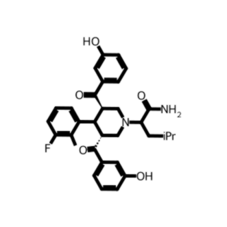 Cc1c(F)cccc1C1[C@@H](C(=O)c2cccc(O)c2)CN(C(CC(C)C)C(N)=O)C[C@@H]1C(=O)c1cccc(O)c1